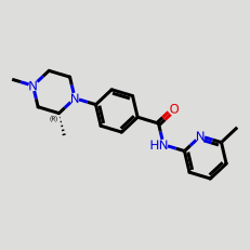 Cc1cccc(NC(=O)c2ccc(N3CCN(C)C[C@H]3C)cc2)n1